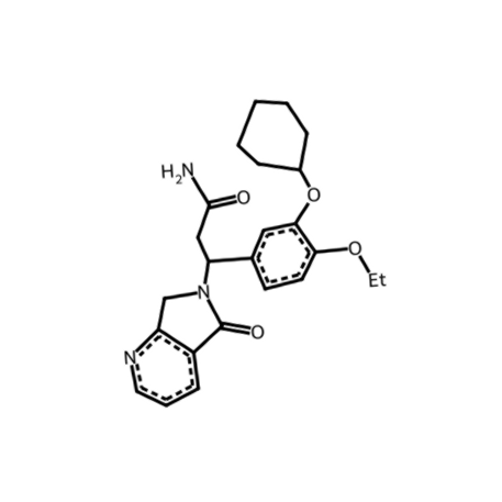 CCOc1ccc(C(CC(N)=O)N2Cc3ncccc3C2=O)cc1OC1CCCCC1